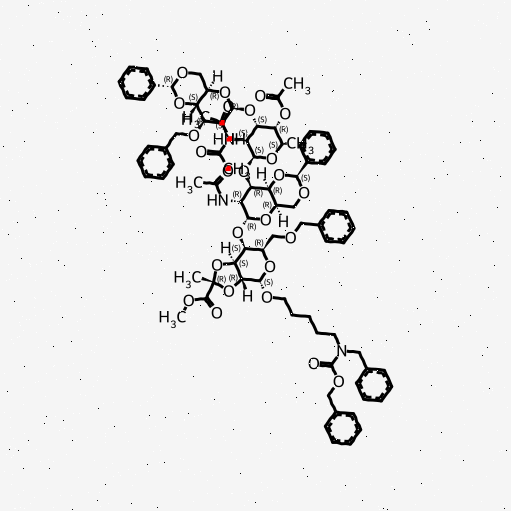 COC(=O)[C@]1(C)O[C@H]2[C@@H](O[C@H]3O[C@@H]4CO[C@H](c5ccccc5)O[C@@H]4[C@H](O[C@@H]4O[C@@H](C)[C@@H](OC(C)=O)[C@@H](O[C@@H]5O[C@@H]6CO[C@@H](c7ccccc7)O[C@H]6[C@H](OCc6ccccc6)[C@@H]5NC(C)=O)[C@@H]4NC(C)=O)[C@H]3NC(C)=O)[C@@H](COCc3ccccc3)O[C@H](OCCCCCN(Cc3ccccc3)C(=O)OCc3ccccc3)[C@@H]2O1